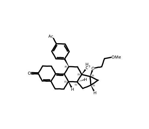 COCCO[C@@]12C[C@@H]1C[C@H]1[C@@H]3CCC4=CC(=O)CCC4=C3[C@@H](c3ccc(C(C)=O)cc3)C[C@@]12C